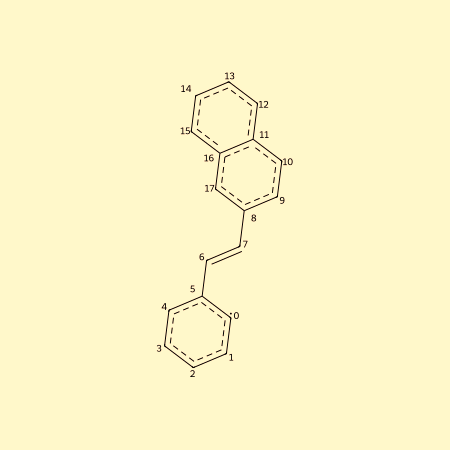 [c]1ccccc1C=Cc1ccc2ccccc2c1